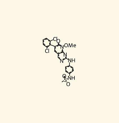 COn1c(=O)c(-c2c(Cl)cccc2Cl)cc2cnc(Nc3ccc(NS(C)(=O)=O)cc3)nc21